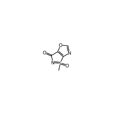 CS1(=O)=NC(=O)c2ocnc21